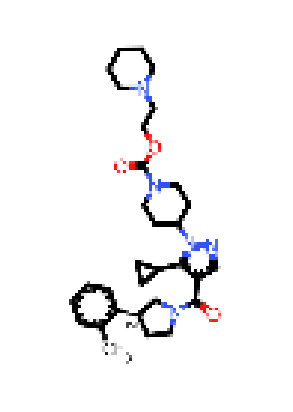 O=C(OCCN1CCCCC1)N1CCC(n2ncc(C(=O)N3CC[C@@H](c4ccccc4C(F)(F)F)C3)c2C2CC2)CC1